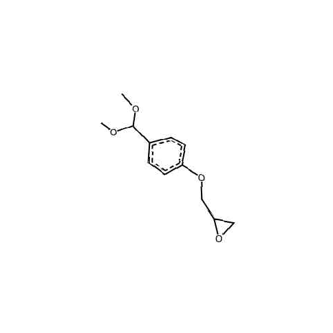 COC(OC)c1ccc(OCC2CO2)cc1